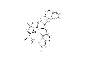 CN[C@@H](C)C(=O)N[C@H](C(=O)N1Cc2cc(OC(C)C)ccc2C[C@H]1C(=O)N[C@@H]1CCCc2ccccc21)C(C)(C)C